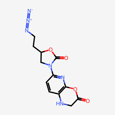 [N-]=[N+]=NCCC1CN(c2ccc3c(n2)OC(=O)CN3)C(=O)O1